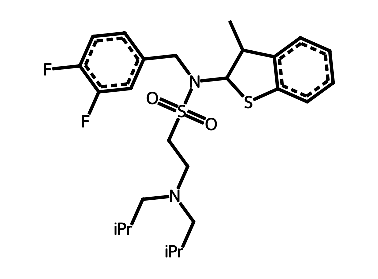 CC(C)CN(CCS(=O)(=O)N(Cc1ccc(F)c(F)c1)C1Sc2ccccc2C1C)CC(C)C